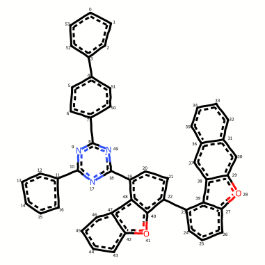 c1ccc(-c2ccc(-c3nc(-c4ccccc4)nc(-c4ccc(-c5cccc6oc7cc8ccccc8cc7c56)c5oc6ccccc6c45)n3)cc2)cc1